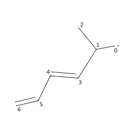 [CH2]C(C)C=CC=C